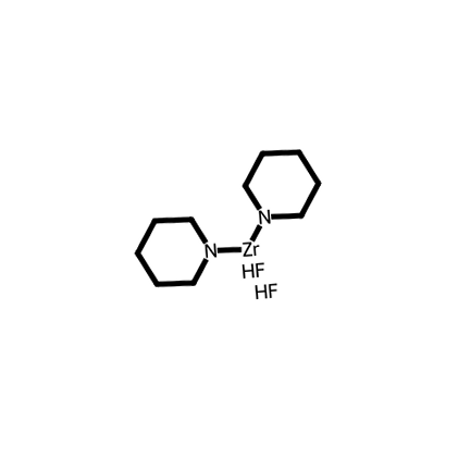 C1CC[N]([Zr][N]2CCCCC2)CC1.F.F